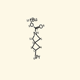 CC(C)C1CC2(C1)CN(C(=O)OC(C)(C)C)C2